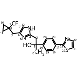 CC(O)(Cc1nc(CC2(C(F)(F)F)CC2)c[nH]1)c1ccc(-c2nccs2)cc1